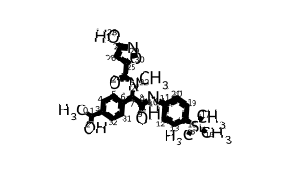 CC(O)c1ccc(C(C(=O)Nc2ccc([Si](C)(C)C)cc2)N(C)C(=O)c2cc(O)no2)cc1